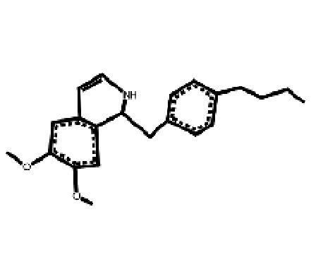 CCCCc1ccc(CC2NC=Cc3cc(OC)c(OC)cc32)cc1